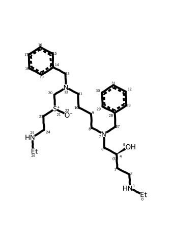 CCNCC[C@H](O)CN(CCCCN(Cc1ccccc1)C[S+]([O-])CCNCC)Cc1ccccc1